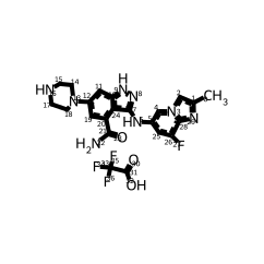 Cc1cn2cc(Nc3n[nH]c4cc(N5CCNCC5)cc(C(N)=O)c34)cc(F)c2n1.O=C(O)C(F)(F)F